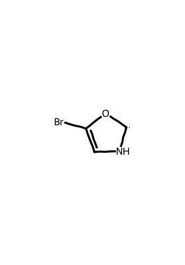 BrC1=CN[CH]O1